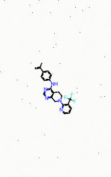 C=C(C)c1ccc(Nc2ncnc3c2CCN(c2ncccc2C(F)(F)F)C3)cc1